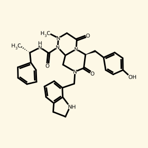 C[C@H](NC(=O)N1C2CN(Cc3cccc4c3NCC4)C(=O)[C@H](Cc3ccc(O)cc3)N2C(=O)CN1C)c1ccccc1